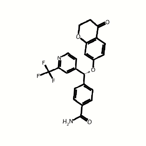 NC(=O)c1ccc([C@@H](Oc2ccc3c(c2)OCCC3=O)c2ccnc(C(F)(F)F)c2)cc1